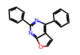 c1ccc(-c2nc(-c3ccccc3)c3ccoc3n2)cc1